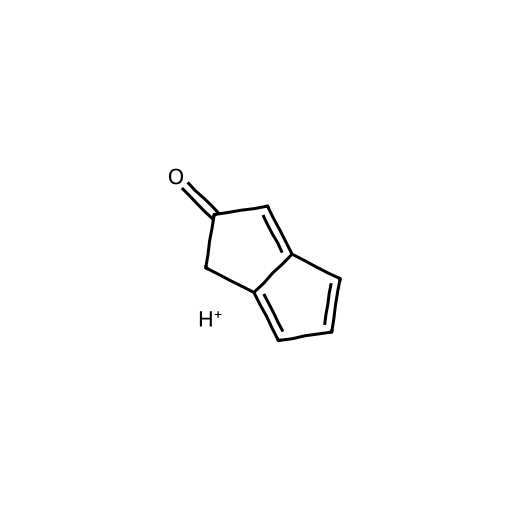 O=C1C=C2C=CC=C2C1.[H+]